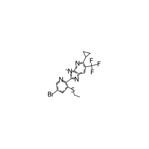 CCSc1cc(Br)cnc1-c1nc2cc(C(F)(F)F)c(C3CC3)nc2n1C